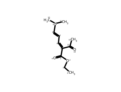 CCOC(=O)C(=CC=CN(C)C)C(C)=O